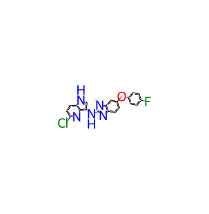 Cn1c(Nc2c[nH]c3ccc(Cl)nc23)nc2ccc(Oc3ccc(F)cc3)cc21